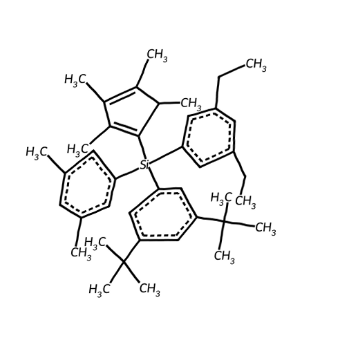 CCc1cc(CC)cc([Si](C2=C(C)C(C)=C(C)C2C)(c2cc(C)cc(C)c2)c2cc(C(C)(C)C)cc(C(C)(C)C)c2)c1